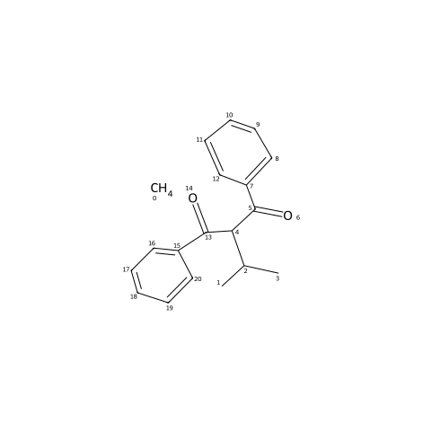 C.CC(C)C(C(=O)c1ccccc1)C(=O)c1ccccc1